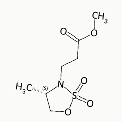 COC(=O)CCN1[C@@H](C)COS1(=O)=O